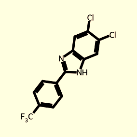 FC(F)(F)c1ccc(-c2nc3cc(Cl)c(Cl)cc3[nH]2)cc1